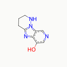 Oc1cncc2c1nc1n2NCCC1